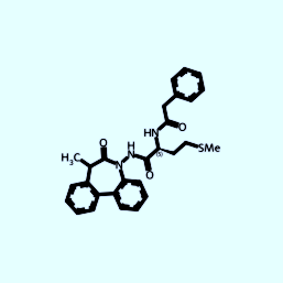 CSCC[C@H](NC(=O)Cc1ccccc1)C(=O)NN1C(=O)C(C)c2ccccc2-c2ccccc21